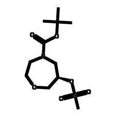 CC(C)(C)OC(=O)N1CCOC[C@H](OS(C)(=O)=O)C1